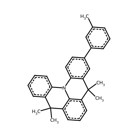 Cc1cccc(-c2ccc3c(c2)C(C)(C)c2cccc4c2N3c2ccccc2C4(C)C)c1